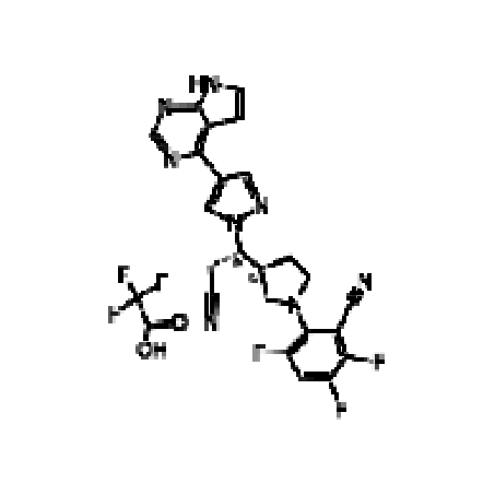 N#CC[C@@H]([C@H]1CCN(c2c(F)cc(F)c(F)c2C#N)C1)n1cc(-c2ncnc3[nH]ccc23)cn1.O=C(O)C(F)(F)F